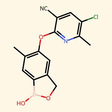 Cc1cc2c(cc1Oc1nc(C)c(Cl)cc1C#N)COB2O